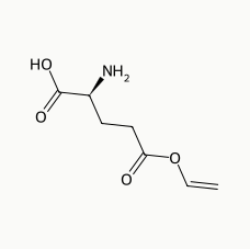 C=COC(=O)CC[C@H](N)C(=O)O